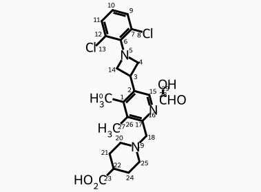 Cc1c(C2CN(c3c(Cl)cccc3Cl)C2)cnc(CN2CCC(C(=O)O)CC2)c1C.O=CO